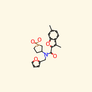 Cc1ccc2c(C)c(C(=O)N(Cc3ccco3)C3CCS(=O)(=O)C3)oc2c1